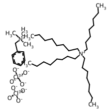 CCCCCCCC[N+](CCCCCCCC)(CCCCCCCC)CCCCCCCC.C[N+](C)(C)Cc1ccccc1.[O-][Cl+3]([O-])([O-])[O-].[O-][Cl+3]([O-])([O-])[O-]